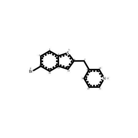 Brc1ccc2sc(Cc3cccnc3)cc2c1